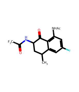 CC(=O)Nc1cc(F)cc2c1C(=O)C(NC(=O)C(F)(F)F)CC2C